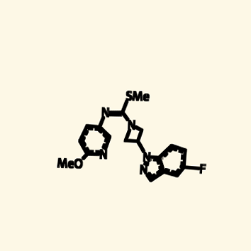 COc1ccc(/N=C(/SC)N2CC(n3ncc4cc(F)ccc43)C2)cn1